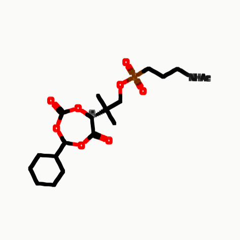 CC(=O)NCCCS(=O)(=O)OCC(C)(C)[C@H]1OC(=O)OC(C2CCCCC2)OC1=O